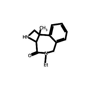 CCN1Cc2ccccc2C2(C)CNC2C1=O